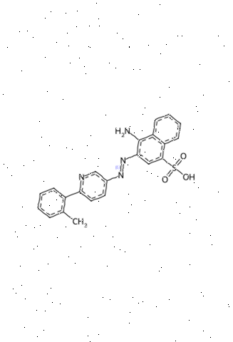 Cc1ccccc1-c1ccc(/N=N/c2cc(S(=O)(=O)O)c3ccccc3c2N)cn1